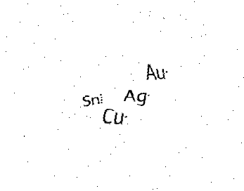 [Ag].[Au].[Cu].[Sn]